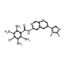 Bc1c(B)c(C(=O)Nc2cc3cc(-c4cnc(C)n4C)cnc3cn2)c(B)c(B)c1Cl